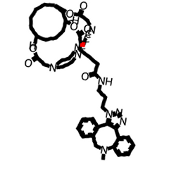 CN1Cc2ccccc2-c2c(nnn2CCCNC(=O)CN2CCN3CCN4CCN(CC2)CC(=O)O[C@H]2CCCCC(C[C@H](CCC2)OC(=O)C4)OC(=O)C3)-c2ccccc21